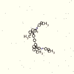 CCc1cccc(C)c1N(c1ccc(/C=C/c2ccc(OC)cc2)cc1)c1ccc(-c2ccc(-c3ccc(N(c4ccc(/C=C/c5ccc(OC)cc5)cc4)c4c(C)cccc4CC)cc3)cc2)cc1